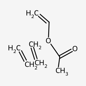 C=C.C=C.C=COC(C)=O